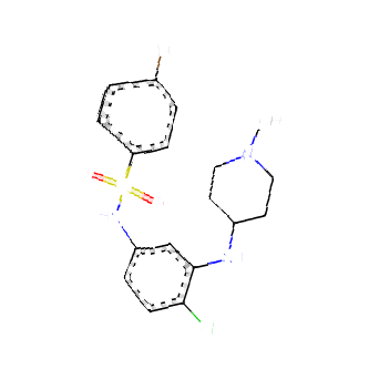 CN1CCC(Nc2cc(NS(=O)(=O)c3ccc(Br)cc3)ccc2Cl)CC1